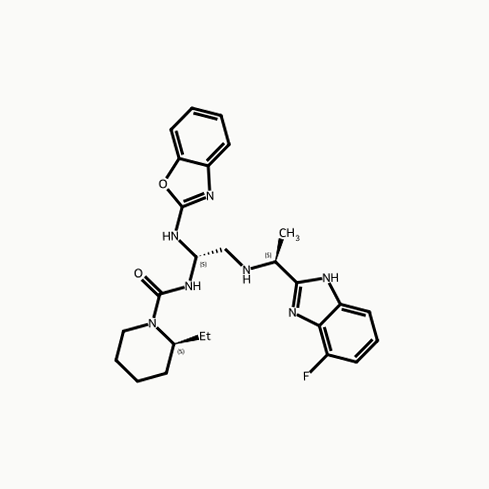 CC[C@H]1CCCCN1C(=O)N[C@@H](CN[C@@H](C)c1nc2c(F)cccc2[nH]1)Nc1nc2ccccc2o1